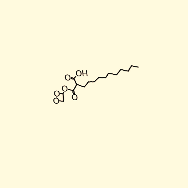 CCCCCCCCCCCC(C(=O)O)C(=O)OC1COO1